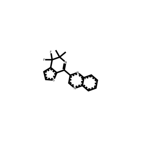 CC1(C)N=C(c2cnc3ccccc3n2)c2sccc2C1(F)F